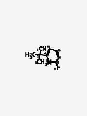 CC(C)(C#N)c1cccc(F)n1